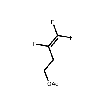 [CH2]C(=O)OCCC(F)=C(F)F